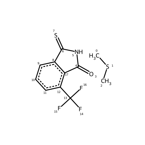 CSC.O=C1NC(=S)c2cccc(C(F)(F)F)c21